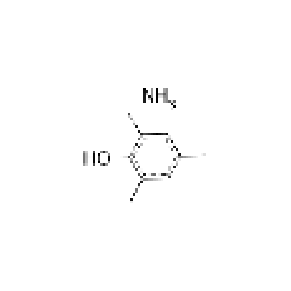 Cc1cc(C)c(O)c(C)c1.N